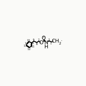 [CH2]CCNC(=O)OCCCc1ccccc1